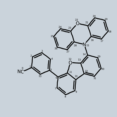 N#Cc1cccc(-c2cccc3c2oc2c(N4c5ccccc5Oc5ccccc54)cccc23)c1